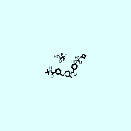 CC1CN(Cc2cccc(C(=O)NC(C)(C)C)c2)CCN1C(=O)c1ccc(NC(=O)NC2CCC2)cc1.O=C(O)C(F)(F)F